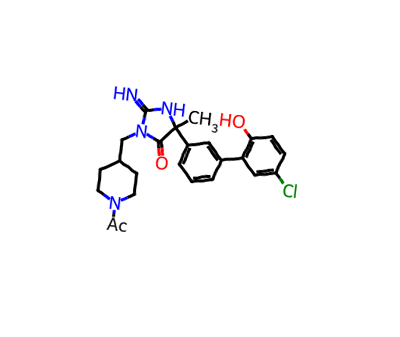 CC(=O)N1CCC(CN2C(=N)NC(C)(c3cccc(-c4cc(Cl)ccc4O)c3)C2=O)CC1